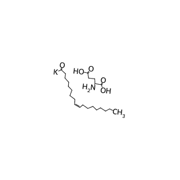 CCCCCCCC/C=C\CCCCCCC[C](=O)[K].NC(CCC(=O)O)C(=O)O